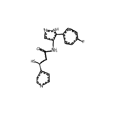 O=C(CC(S)c1ccncc1)Nc1cn[nH]c1-c1ccc(F)cc1